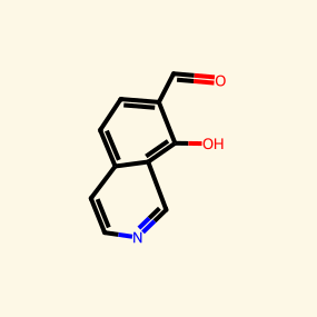 O=Cc1ccc2ccncc2c1O